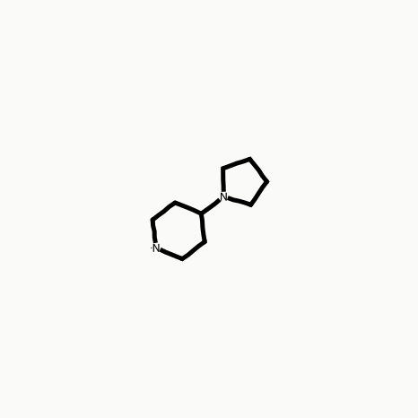 C1CCN(C2CC[N]CC2)C1